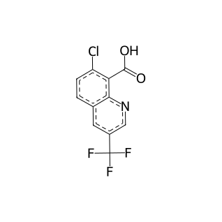 O=C(O)c1c(Cl)ccc2cc(C(F)(F)F)cnc12